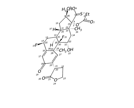 CCC(=O)O[C@@]1(C(O)=S)[C@H](C)C[C@H]2[C@@H]3C[C@H](F)C4=CC(=O)C([C@@H]5CCOC5=O)=C[C@]4(C)[C@@]3(F)[C@@H](O)C[C@@]21C